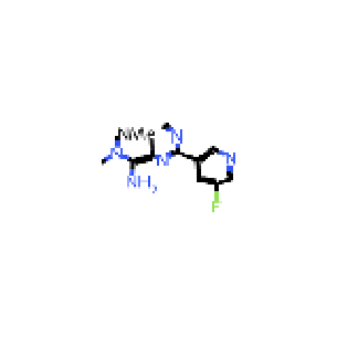 C=N/C(=N\C(NC)=C(/N)N(C)C)c1cncc(F)c1